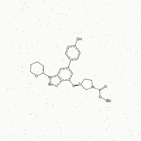 CC(C)(C)OC(=O)N1CC[C@H](Sc2cc(-c3ccc(O)cc3)cc3c2cnn3C2CCCCO2)C1